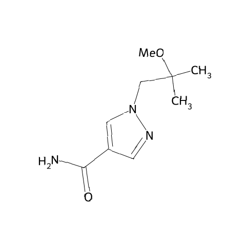 COC(C)(C)Cn1cc(C(N)=O)cn1